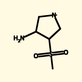 CS(=O)(=O)C1C[N]CC1N